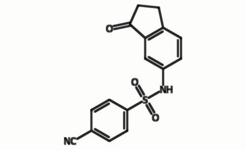 N#Cc1ccc(S(=O)(=O)Nc2ccc3c(c2)C(=O)CC3)cc1